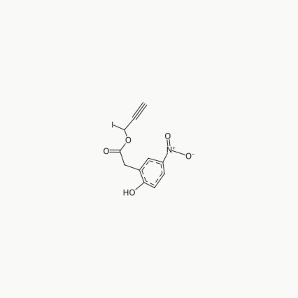 C#CC(I)OC(=O)Cc1cc([N+](=O)[O-])ccc1O